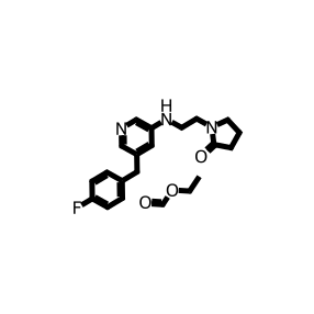 CCOC=O.O=C1CCCN1CCNc1cncc(Cc2ccc(F)cc2)c1